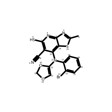 Cc1nc2nc(S)c(C#N)c(N(C3=COCO3)c3ccccc3Br)c2s1